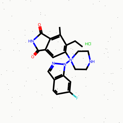 CCc1c([N+]2(n3ncc4ccc(F)cc43)CCNCC2)cc2c(c1C)C(=O)NC2=O.Cl